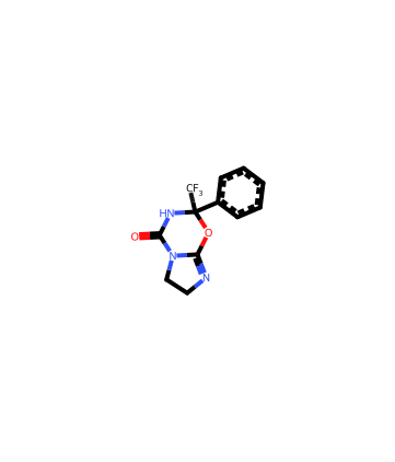 O=C1NC(c2ccccc2)(C(F)(F)F)OC2=NCCN12